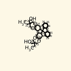 CCC1(CO)COC2(CCC(C3(C4CCC5(CC4)OCC(CC)(CO)CO5)c4ccccc4-c4ccccc43)CC2)OC1